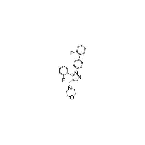 Fc1ccccc1-c1ccc(-n2ncc(CN3CCOCC3)c2-c2ccccc2F)cc1